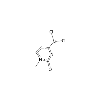 Cn1ccc(N(Cl)Cl)nc1=O